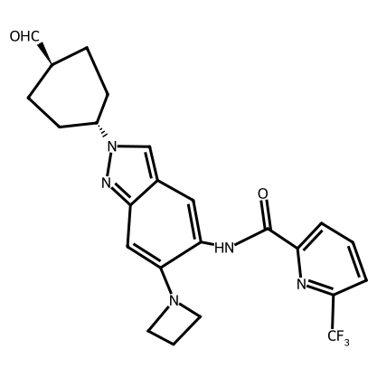 O=C[C@H]1CC[C@H](n2cc3cc(NC(=O)c4cccc(C(F)(F)F)n4)c(N4CCC4)cc3n2)CC1